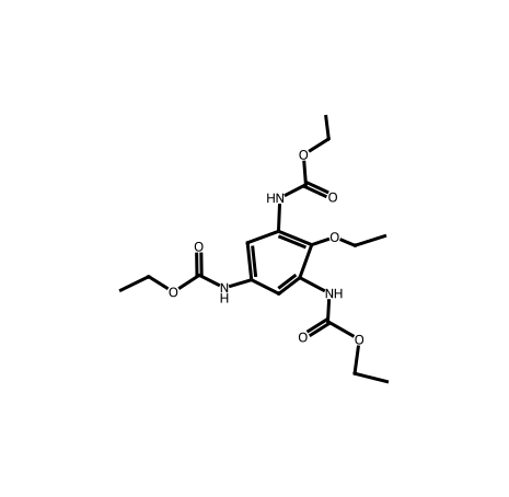 CCOC(=O)Nc1cc(NC(=O)OCC)c(OCC)c(NC(=O)OCC)c1